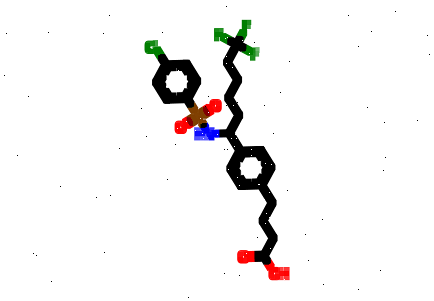 O=C(O)CCCc1ccc(C(CCCCC(F)(F)F)NS(=O)(=O)c2ccc(Cl)cc2)cc1